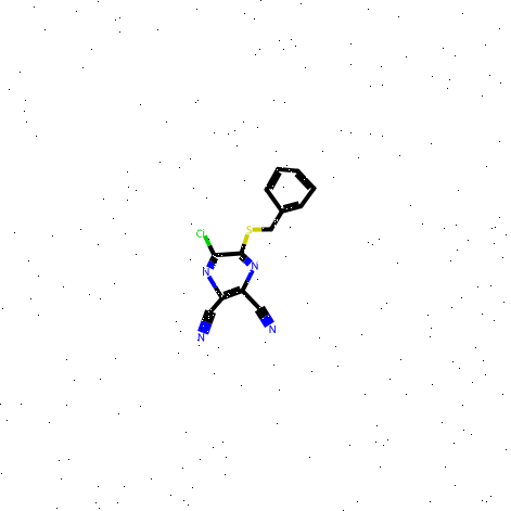 N#Cc1nc(Cl)c(SCc2ccccc2)nc1C#N